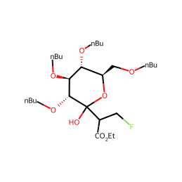 CCCCOC[C@H]1OC(O)(C(CF)C(=O)OCC)[C@H](OCCCC)[C@@H](OCCCC)[C@@H]1OCCCC